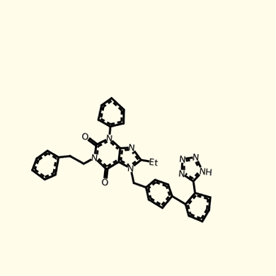 CCc1nc2c(c(=O)n(CCc3ccccc3)c(=O)n2-c2ccccc2)n1Cc1ccc(-c2ccccc2-c2nnn[nH]2)cc1